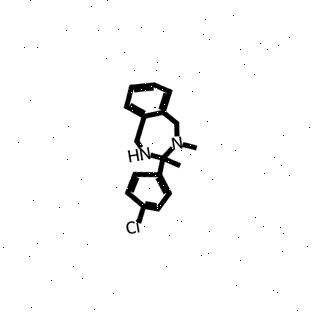 CN1Cc2ccccc2CNC1(C)c1ccc(Cl)cc1